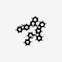 C1=Cc2c(cc(-c3ccc4c(c3)sc3ccccc34)nc2-n2c3c(c4cc5c6ccccc6n(-c6cccc(-c7ccccc7)n6)c5cc42)CCC=C3)CC1